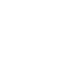 CC(C)(O)CNC(=O)n1nc(-c2ccncc2)c2cc3nc[nH]c3cc21